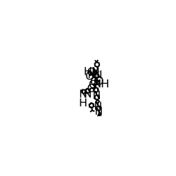 CC(C)c1ccccc1[C@@H]1CN(C2CC2)CCN1C1CC2(CCN(c3ccc(C(=O)NS(=O)(=O)c4cnc(NCC5CCC(C)(C)CC5)c([N+](=O)[O-])c4)c(Oc4cnc5[nH]ccc5c4)c3)CC2)C1